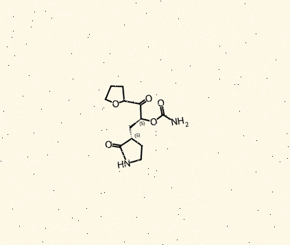 NC(=O)O[C@@H](C[C@@H]1CCNC1=O)C(=O)C1CCCO1